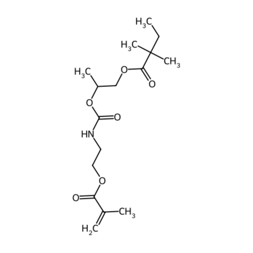 C=C(C)C(=O)OCCNC(=O)OC(C)COC(=O)C(C)(C)CC